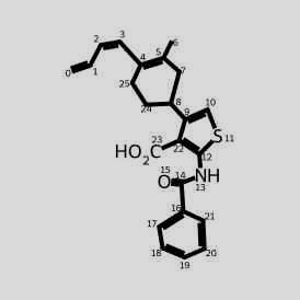 C=C/C=C\C1=C(C)CC(c2csc(NC(=O)c3ccccc3)c2C(=O)O)CC1